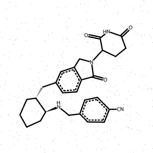 N#Cc1ccc(CN[C@H]2CCCC[C@@H]2Cc2ccc3c(c2)CN(C2CCC(=O)NC2=O)C3=O)cc1